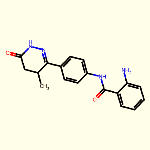 CC1CC(=O)NN=C1c1ccc(NC(=O)c2ccccc2N)cc1